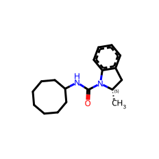 C[C@H]1Cc2ccccc2N1C(=O)NC1CCCCCCC1